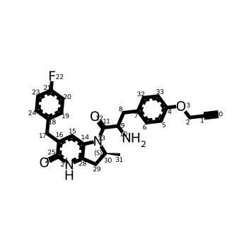 C#CCOc1ccc(CC(N)C(=O)N2c3cc(Cc4ccc(F)cc4)c(=O)[nH]c3C[C@@H]2C)cc1